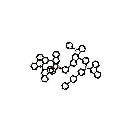 c1ccc(-c2ccc(-c3ccc(N(c4cccc(-c5c6ccc(-c7cccc(-n8c9ccccc9c9c(-c%10cccc(N(c%11ccccc%11-c%11ccccc%11)c%11cc%12ccccc%12c%12ccccc%11%12)c%10)c%10ccccc%10cc98)c7)cc6cc6c5c5ccccc5n6-c5ccccc5)c4)c4cc5ccccc5c5ccccc45)cc3)cc2)cc1